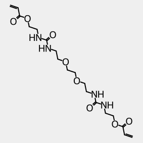 C=CC(=O)OCCNC(=O)NCCOCCOCCNC(=O)NCCOC(=O)C=C